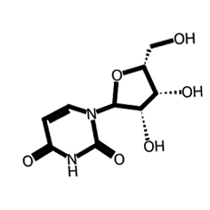 O=c1ccn(C2O[C@H](CO)[C@H](O)[C@@H]2O)c(=O)[nH]1